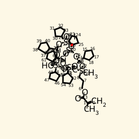 C=C(C)C(=O)OCCC[Si](C)(C)O[Si]1(C2CCCC2)O[Si]2(C3CCCC3)O[Si](O)(C3CCCC3)O[Si]3(C4CCCC4)O[Si](O)(C4CCCC4)O[Si](C4CCCC4)(O1)O[Si](C1CCCC1)(O3)O2